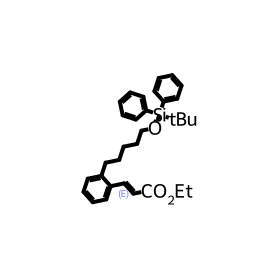 CCOC(=O)/C=C/c1ccccc1CCCCCO[Si](c1ccccc1)(c1ccccc1)C(C)(C)C